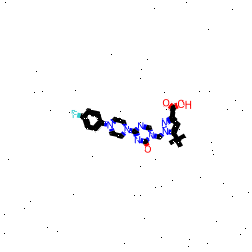 CC(C)(C)c1cc(C(=O)O)nn1Cn1cnc(N2CCN(c3ccc(F)cc3)CC2)nc1=O